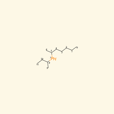 CCCCCC(C)PC(C)CC